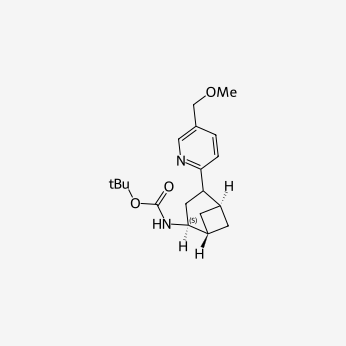 COCc1ccc(C2C[C@H](NC(=O)OC(C)(C)C)[C@H]3C[C@H]2C3)nc1